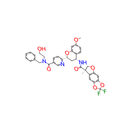 COc1ccc2c(c1)O[C@@H](c1ccc(C(=O)N(CCO)Cc3ccccc3)cn1)C[C@H]2NC(=O)[C@@]1(C)COc2cc3c(cc21)OC(F)(F)O3